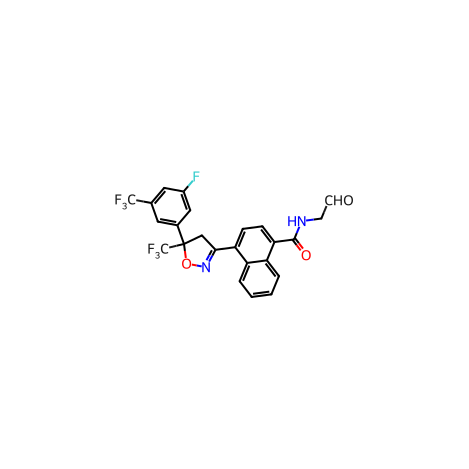 O=CCNC(=O)c1ccc(C2=NOC(c3cc(F)cc(C(F)(F)F)c3)(C(F)(F)F)C2)c2ccccc12